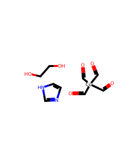 O=[CH][Co]([CH]=O)([CH]=O)[CH]=O.OCCO.c1c[nH]cn1